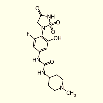 CN1CCC(NC(=O)Nc2cc(O)c(N3CC(=O)NS3(=O)=O)c(F)c2)CC1